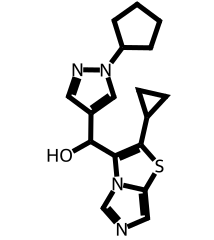 OC(c1cnn(C2CCCC2)c1)c1c(C2CC2)sc2cncn12